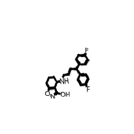 Oc1noc2c1C(NCCCC(c1ccc(F)cc1)c1ccc(F)cc1)CCC2